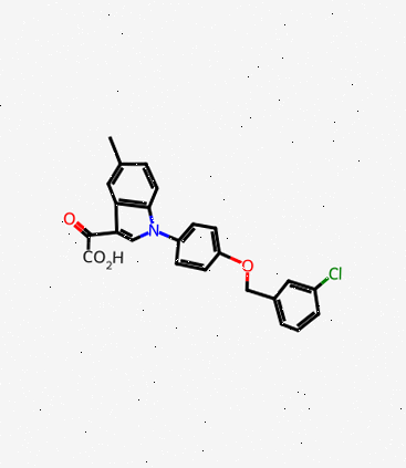 Cc1ccc2c(c1)c(C(=O)C(=O)O)cn2-c1ccc(OCc2cccc(Cl)c2)cc1